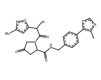 Cc1ncsc1-c1ccc(CNC(=O)C2CC(=O)CN2C(=O)C(c2cc(C(C)(C)C)no2)C(C)C)cc1